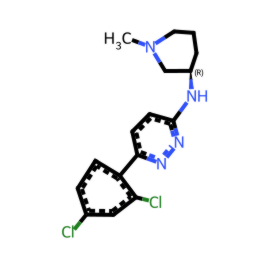 CN1CCC[C@@H](Nc2ccc(-c3ccc(Cl)cc3Cl)nn2)C1